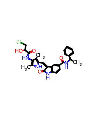 Cc1[nH]c(/C=C2\C(=O)Nc3ccc(C(=O)NC(C)c4ccccc4)cc32)c(C)c1NC(=O)C(O)CCl